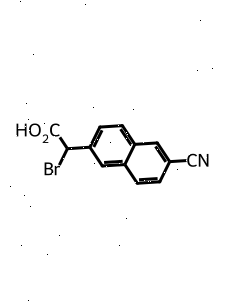 N#Cc1ccc2cc(C(Br)C(=O)O)ccc2c1